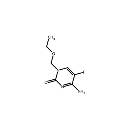 CCOCn1cc(F)c(N)nc1=O